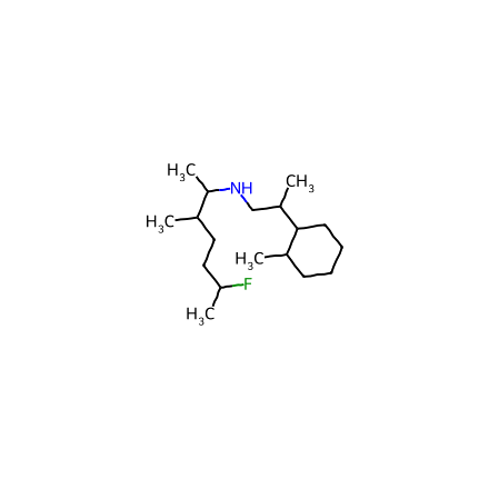 CC(F)CCC(C)C(C)NCC(C)C1CCCCC1C